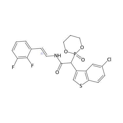 O=C(N/C=C/c1cccc(F)c1F)C(c1csc2ccc(Cl)cc12)P1(=O)OCCCO1